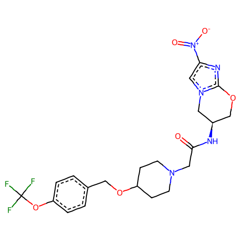 O=C(CN1CCC(OCc2ccc(OC(F)(F)F)cc2)CC1)N[C@@H]1COc2nc([N+](=O)[O-])cn2C1